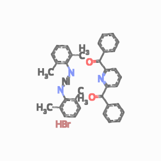 Br.Cc1cccc(C)c1[N]=[Ni]=[N]c1c(C)cccc1C.O=C(c1ccccc1)c1cccc(C(=O)c2ccccc2)n1